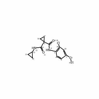 CCOc1ccc(NC(=O)C2(C(=O)NC3CC3)CC2)c(Cl)c1